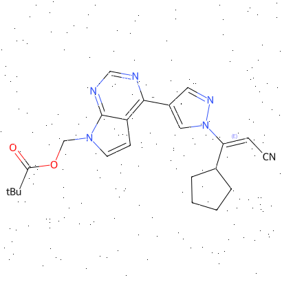 CC(C)(C)C(=O)OCn1ccc2c(-c3cnn(/C(=C/C#N)C4CCCC4)c3)ncnc21